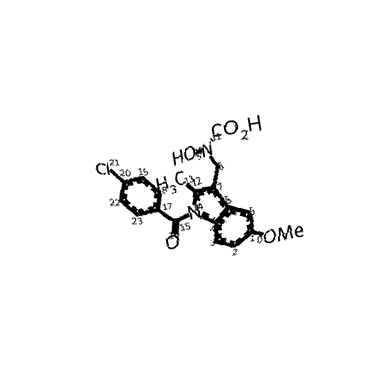 COc1ccc2c(c1)c(CN(O)C(=O)O)c(C)n2C(=O)c1ccc(Cl)cc1